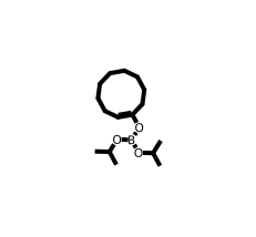 CC(C)OB(OC1=CCCCCCCCC1)OC(C)C